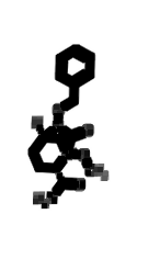 CO[N+]12C[C@@H](CC[C@H]1C(N)=O)N(OCc1ccccc1)C2=O